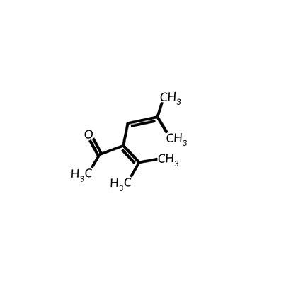 CC(=O)C(C=C(C)C)=C(C)C